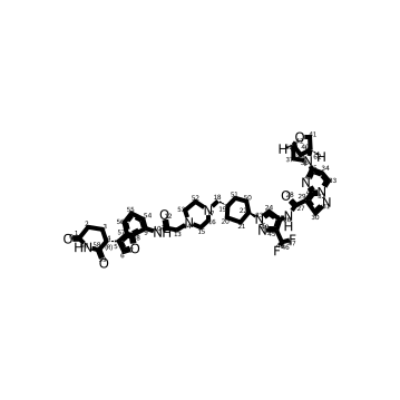 O=C1CC[C@H](c2coc3c(NC(=O)CN4CCN(C[C@H]5CC[C@H](n6cc(NC(=O)c7cnn8ccc(N9C[C@@H]%10C[C@H]9CO%10)nc78)c(C(F)F)n6)CC5)CC4)cccc23)C(=O)N1